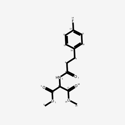 COC(=O)C(NC(=O)CCc1ccc(F)cc1)C(=O)OC